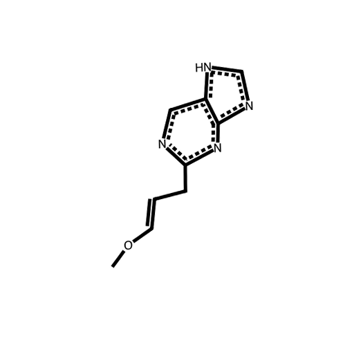 COC=CCc1ncc2[nH]cnc2n1